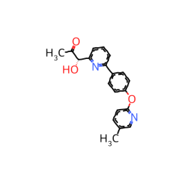 CC(=O)[C@@H](O)c1cccc(-c2ccc(Oc3ccc(C)cn3)cc2)n1